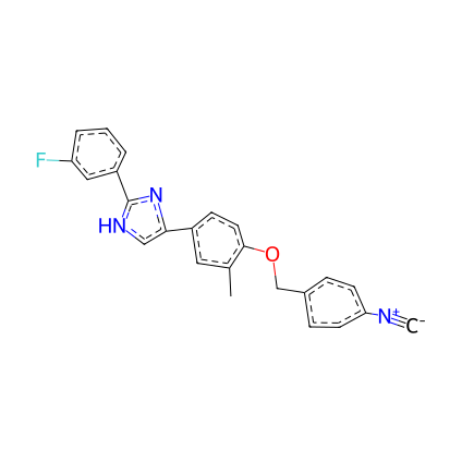 [C-]#[N+]c1ccc(COc2ccc(-c3c[nH]c(-c4cccc(F)c4)n3)cc2C)cc1